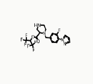 O=C(OC(C(F)(F)F)C(F)(F)F)C1CNCCN1Cc1ccc(-n2cccn2)c(F)c1